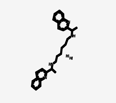 CC(NCCCCCCNC(C)c1ccc2ccccc2n1)c1ccc2ccccc2n1.I.I